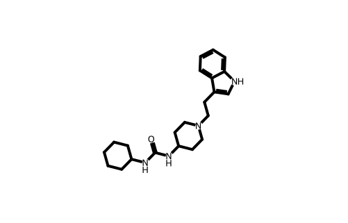 O=C(NC1CCCCC1)NC1CCN(CCc2c[nH]c3ccccc23)CC1